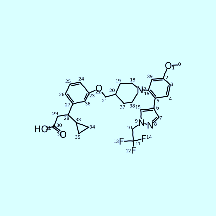 COc1ccc(-c2cnn(CC(F)(F)F)c2)c(N2CCC(COc3cccc(C(CC(=O)O)C4CC4)c3)CC2)c1